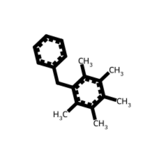 Cc1c(C)c(C)c(Cc2ccccc2)c(C)c1C